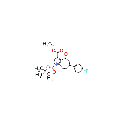 CCOC(=O)c1cn(C(=O)OC(C)(C)C)c2c1C(=O)CC(c1ccc(F)cc1)CC2